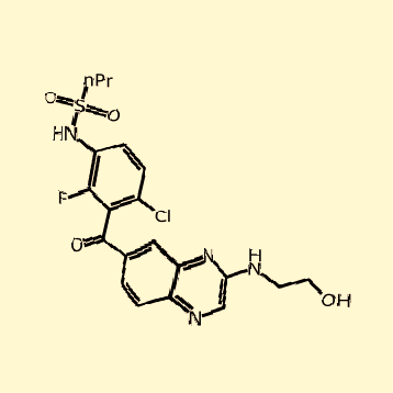 CCCS(=O)(=O)Nc1ccc(Cl)c(C(=O)c2ccc3ncc(NCCO)nc3c2)c1F